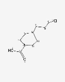 O=C(O)N1CCC(CCCCl)CC1